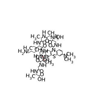 CC[C@H](C)[C@H](NC(=O)[C@H](C)NC(=O)[C@H](C)NC(=O)[C@H](CO)NC(=O)N1c2ccc(N(C)C)cc2Sc2cc(N(C)C)ccc21)C(=O)N[C@@H](CCCCN)C(=O)N[C@@H](C)C(=O)NCC(=O)N[C@@H](C)C(=O)O